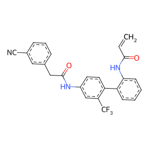 C=CC(=O)Nc1ccccc1-c1ccc(NC(=O)Cc2cccc(C#N)c2)cc1C(F)(F)F